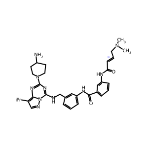 CC(C)c1cnn2c(NCc3cccc(NC(=O)c4cccc(NC(=O)/C=C/CN(C)C)c4)c3)nc(N3CCC(N)CC3)nc12